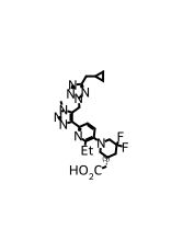 CCc1nc(-c2nnn(C)c2Cn2nnc(CC3CC3)n2)ccc1N1C[C@@H](CC(=O)O)CC(F)(F)C1